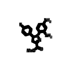 COC(=O)C1=NN(c2ccc(N)cc2N)C(c2ccc(F)cc2)C1